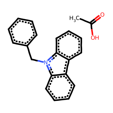 CC(=O)O.c1ccc(Cn2c3ccccc3c3ccccc32)cc1